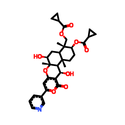 C[C@]12CC[C@H](OC(=O)C3CC3)[C@@](C)(COC(=O)C3CC3)C1C[C@H](O)[C@@]1(C)Oc3cc(-c4cccnc4)oc(=O)c3[C@H](O)C21